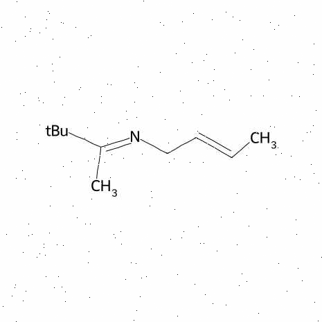 C/C=C/C/N=C(\C)C(C)(C)C